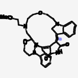 COCCN1CCOCCN2C/C(=C3\C(=O)NC(=O)C3=C3c4ccccc4N4CCOC(C1)N34)c1ccccc12